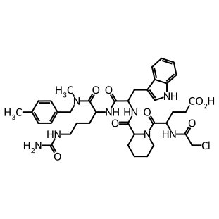 Cc1ccc(CN(C)C(=O)C(CCCNC(N)=O)NC(=O)C(Cc2c[nH]c3ccccc23)NC(=O)C2CCCCN2C(=O)C(CCC(=O)O)NC(=O)CCl)cc1